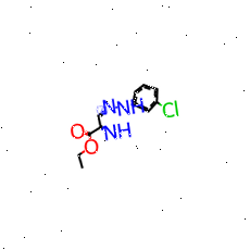 CCOC(=O)C(=N)/C=N\Nc1cccc(Cl)c1